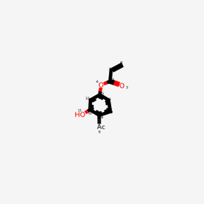 C=CC(=O)Oc1ccc(C(C)=O)c(O)c1